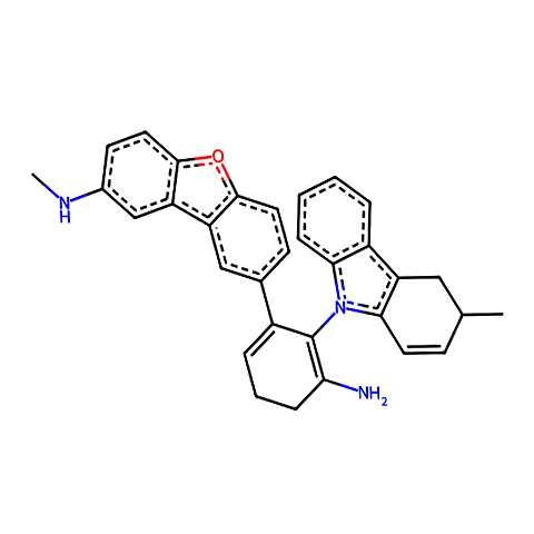 CNc1ccc2oc3ccc(C4=CCCC(N)=C4n4c5c(c6ccccc64)CC(C)C=C5)cc3c2c1